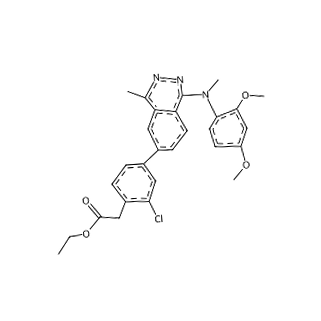 CCOC(=O)Cc1ccc(-c2ccc3c(N(C)c4ccc(OC)cc4OC)nnc(C)c3c2)cc1Cl